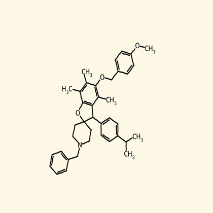 COc1ccc(COc2c(C)c(C)c3c(c2C)C(c2ccc(C(C)C)cc2)C2(CCN(Cc4ccccc4)CC2)O3)cc1